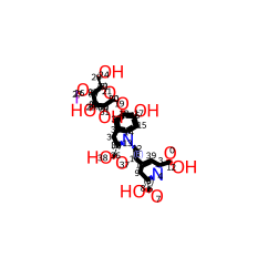 O=C(O)C1=N[C@H](C(=O)O)CC(/C=C/N2c3cc(O)c(O[C@@H]4O[C@H](CO)[C@@H](OI)[C@H](O)[C@H]4O)cc3C[C@H]2C(=O)O)=C1